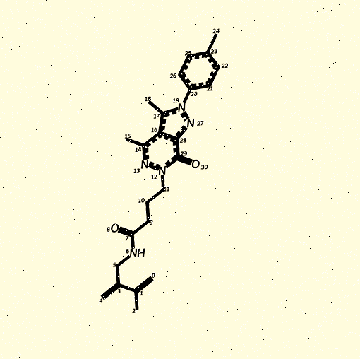 C=C(C)C(=C)CNC(=O)CCCn1nc(C)c2c(C)n(-c3ccc(C)cc3)nc2c1=O